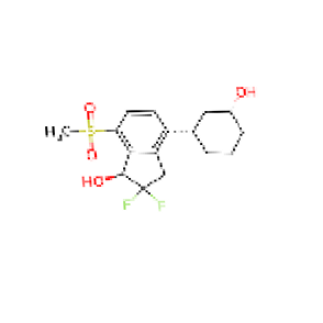 CS(=O)(=O)c1ccc([C@H]2CCC[C@@H](O)C2)c2c1[C@H](O)C(F)(F)C2